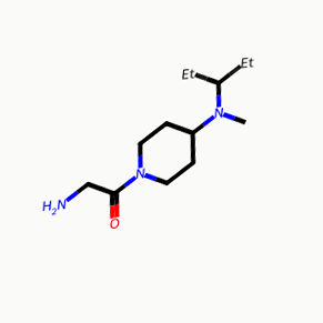 CCC(CC)N(C)C1CCN(C(=O)CN)CC1